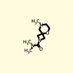 CN1CCOC2(C1)CN(C(=O)N(C)C)C2